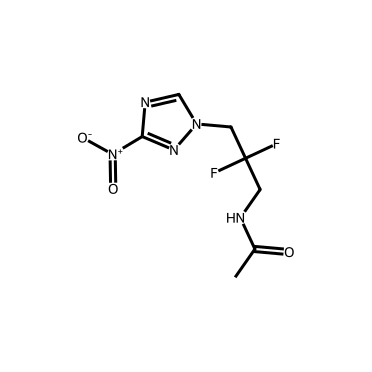 CC(=O)NCC(F)(F)Cn1cnc([N+](=O)[O-])n1